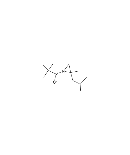 CC(C)CC1(C)CN1[S+]([O-])C(C)(C)C